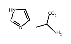 CC(N)C(=O)O.c1c[nH]nn1